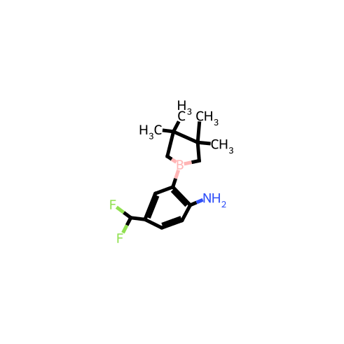 CC1(C)CB(c2cc(C(F)F)ccc2N)CC1(C)C